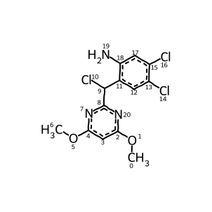 COc1cc(OC)nc(C(Cl)c2cc(Cl)c(Cl)cc2N)n1